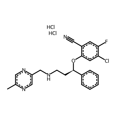 Cc1cnc(CNCC[C@@H](Oc2cc(Cl)c(F)cc2C#N)c2ccccc2)cn1.Cl.Cl